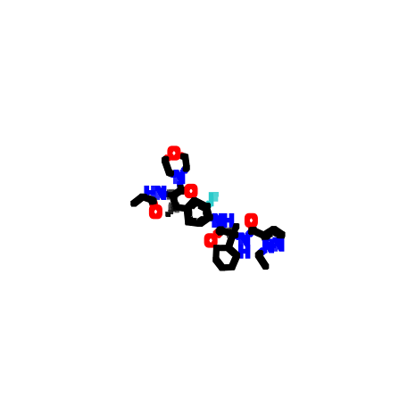 CCC(=O)N[C@@H](C(=O)N1CCOCC1)[C@@H](C)c1ccc(NC(=O)[C@](C)(NC(=O)c2ccnn2CC)C2CCCCC2)c(F)c1